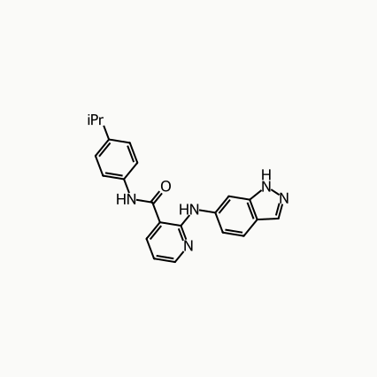 CC(C)c1ccc(NC(=O)c2cccnc2Nc2ccc3cn[nH]c3c2)cc1